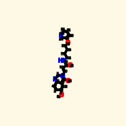 COc1ccc2ncn(C=CC(=O)NCCCCOc3cccnc3)c(=O)c2c1